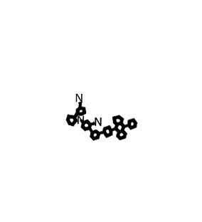 N#Cc1ccc2c(c1)c1ccccc1n2-c1ccc(-c2cccc(-c3ccc(-c4c5ccccc5c(-c5ccccc5)c5ccccc45)cc3)c2)c(C#N)c1